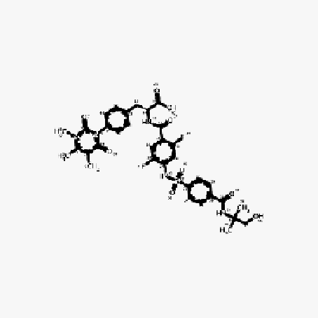 Cc1c(C)n(C)c(=O)n(-c2ccc(C[C@H](NC(=O)c3cc(F)c(NS(=O)(=O)c4ccc(C(=O)NC(C)(C)CO)cc4)cc3F)C(=O)O)cc2)c1=O